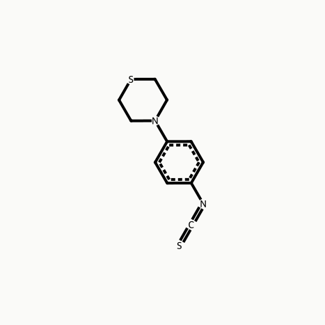 S=C=Nc1ccc(N2CCSCC2)cc1